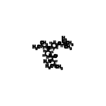 CC(C)=CCN(c1ccc(OCC(C)(C)C)cc1)C1CCCN(C(=O)[C@@H](N)CC(C)C)C1